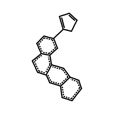 [c]1c(C2=CC=CC2)ccc2ccc3cc4ccccc4cc3c12